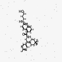 Cc1ncc(C(CNC(=O)c2cccc3nc(NCCCO)ccc23)N2CCC(F)(F)CC2)cn1